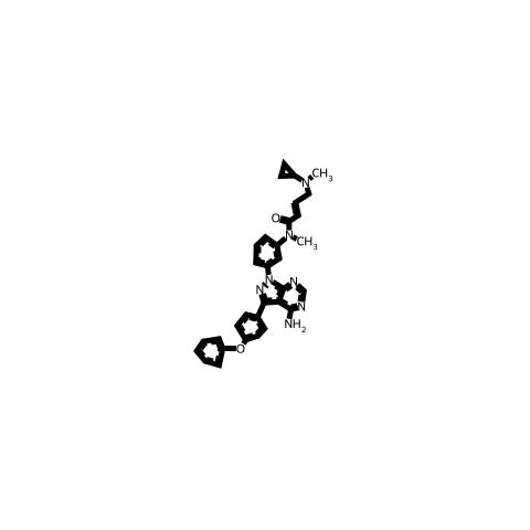 CN(C(=O)C=CCN(C)C1CC1)c1cccc(-n2nc(-c3ccc(Oc4ccccc4)cc3)c3c(N)ncnc32)c1